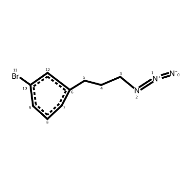 [N-]=[N+]=NCCCc1cccc(Br)c1